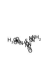 CS(=O)(=O)N1CCN(Cc2csc3c(-c4cnc(N)nc4)nc(N4CCOCC4)nc23)CC1